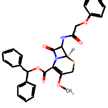 COC1=C(C(=O)OC(c2ccccc2)c2ccccc2)N2C(=O)C(NC(=O)COc3ccccc3)[C@H]2SC1